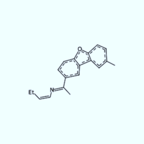 CC/C=C\N=C(/C)c1ccc2oc3ccc(C)cc3c2c1